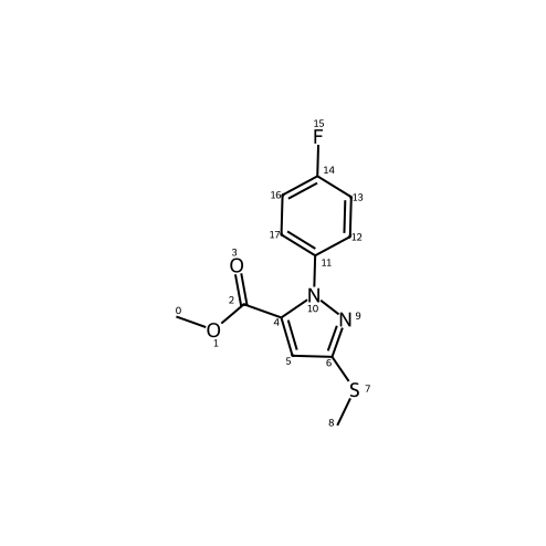 COC(=O)c1cc(SC)nn1-c1ccc(F)cc1